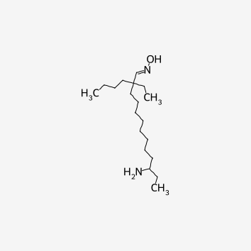 CCCCC(C=NO)(CC)CCCCCCCCC(N)CC